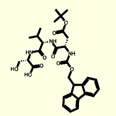 CC(C)[C@H](NC(=O)[C@H](CC(=O)OC(C)(C)C)NC(=O)OCC1c2ccccc2-c2ccccc21)C(=O)N[C@@H](CO)C(=O)O